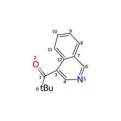 CC(C)(C)C(=O)c1cncc2ccccc12